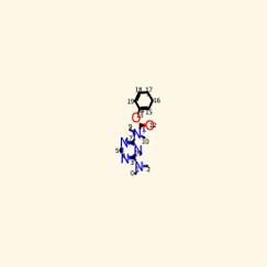 CN(C)c1ncnc([N+](C)(C)C(=O)OC2=CC[CH]C=C2)n1